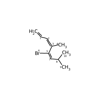 C=C/C=C(C)\C(Br)=C/C(C)C